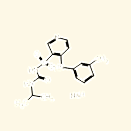 Cc1cccc(Nc2ccncc2S(=O)(=O)NC(=O)NC(C)C)c1.[NaH]